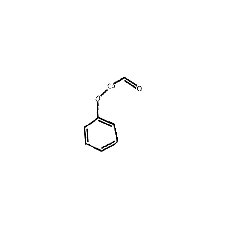 O=[CH][Co][O]c1ccccc1